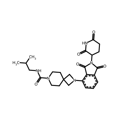 CC(C)CNC(=O)N1CCC2(CC1)CN(c1cccc3c1C(=O)N(C1CCC(=O)NC1=O)C3=O)C2